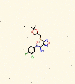 CC1(C)OCC(CSc2nonc2C(=N)N(O)c2ccc(F)c(Br)c2)O1